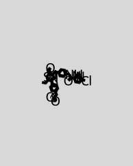 CCC1SC(C=O)N(Cc2ccc(NC(=O)c3ccc(Cl)nn3)cc2)N=C1c1ccc(C[SH](=O)=O)cc1